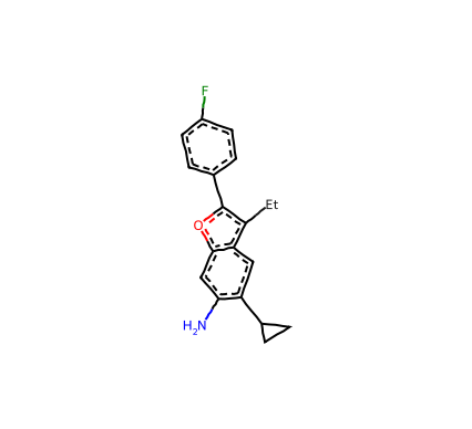 [CH2]Cc1c(-c2ccc(F)cc2)oc2cc(N)c(C3CC3)cc12